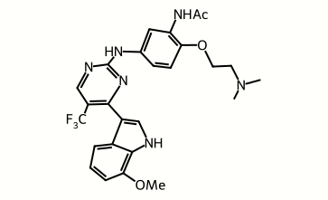 COc1cccc2c(-c3nc(Nc4ccc(OCCN(C)C)c(NC(C)=O)c4)ncc3C(F)(F)F)c[nH]c12